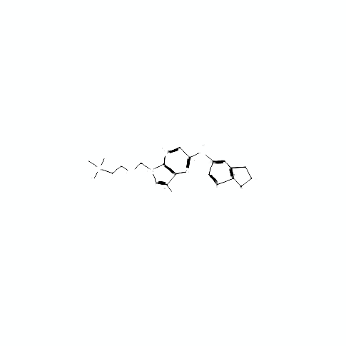 C[Si](C)(C)CCOCn1cc(C=O)c2nc(Oc3ccc4c(c3)CCC4)cnc21